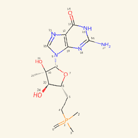 C=P(C)(C)CC[C@H]1O[C@@H](n2cnc3c(=O)[nH]c(N)nc32)[C@](C)(O)[C@@H]1O